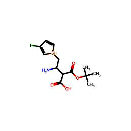 CC(C)(C)OC(=O)C(C(=O)O)C(N)C[SH]1C=CC(F)=C1